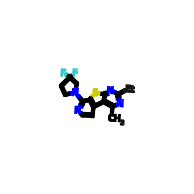 CCc1nc(C)c2c(n1)sc1c(N3CCC(F)(F)C3)nccc12